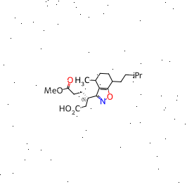 COC(=O)CC[C@@H](CC(=O)O)c1noc2c1C(C)CCC2CCC(C)C